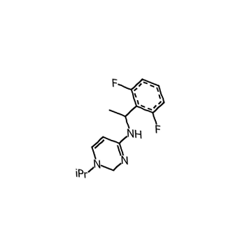 CC(NC1=NCN(C(C)C)C=C1)c1c(F)cccc1F